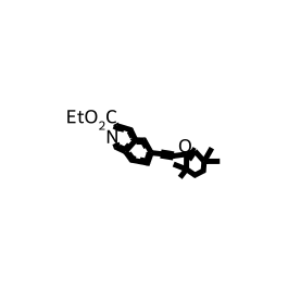 CCOC(=O)c1cc2cc(C#CC34OC3(C)C(C)(C)CCC4(C)C)ccc2cn1